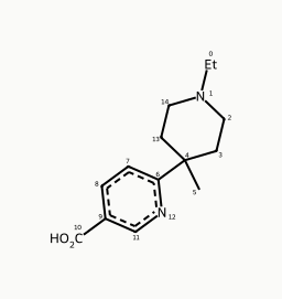 CCN1CCC(C)(c2ccc(C(=O)O)cn2)CC1